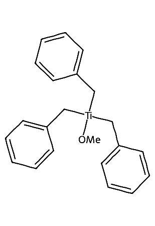 C[O][Ti]([CH2]c1ccccc1)([CH2]c1ccccc1)[CH2]c1ccccc1